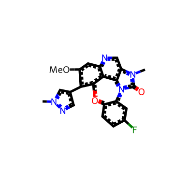 COc1cc2ncc3c4c2c(oc2ccc(F)cc2n4c(=O)n3C)c1-c1cnn(C)c1